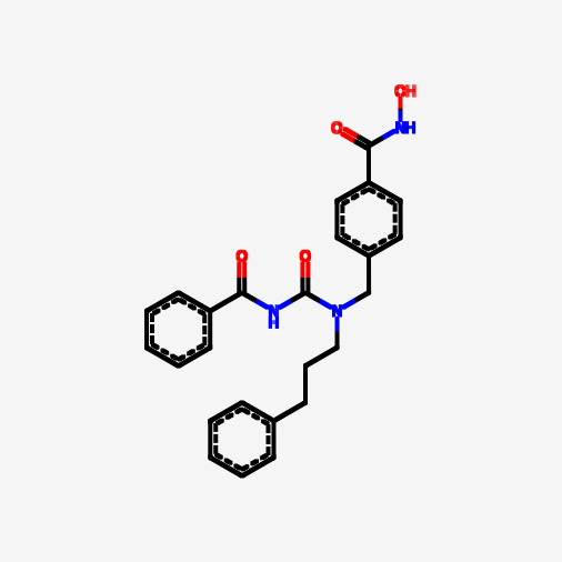 O=C(NO)c1ccc(CN(CCCc2ccccc2)C(=O)NC(=O)c2ccccc2)cc1